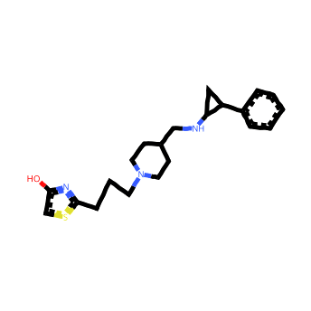 Oc1csc(CCCN2CCC(CNC3CC3c3ccccc3)CC2)n1